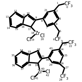 FC(F)(F)Cc1cc(CC(F)(F)F)cc(C2=Cc3ccccc3[CH]2[Zr]([Cl])[Cl])c1.FC(F)(F)Cc1cc(CC(F)(F)F)cc(C2=Cc3ccccc3[CH]2[Zr]([Cl])[Cl])c1